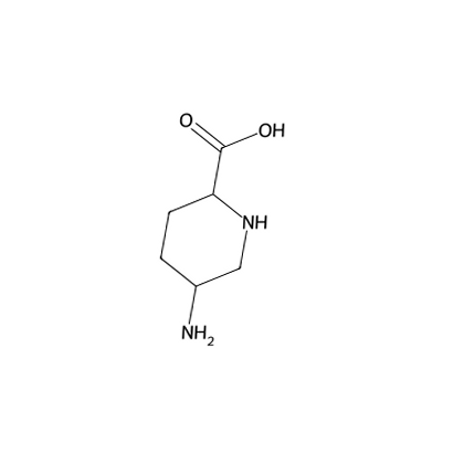 NC1CCC(C(=O)O)NC1